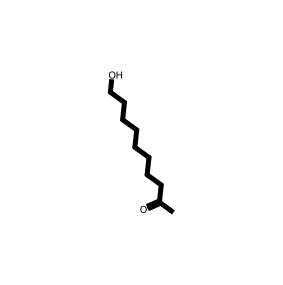 CC(=O)CCCCCCCCO